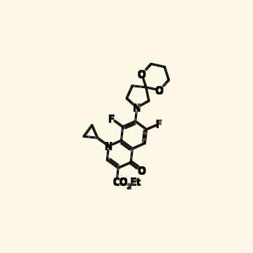 CCOC(=O)c1cn(C2CC2)c2c(F)c(N3CCC4(C3)OCCCO4)c(F)cc2c1=O